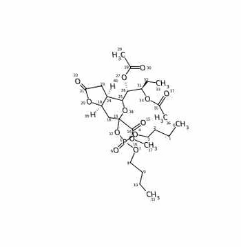 CCCCOP(=O)(OCCCC)OC1(C(=O)OC)C[C@H]2OC(=O)C[C@H]2C([C@H](OC(C)=O)[C@@H](CC)OC(C)=O)O1